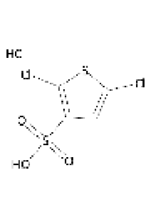 Cl.O=S(=O)(O)c1cc(Cl)sc1Cl